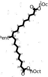 CCCCCCCCOC(=O)CCCCCCCCC(CCCCCCCCC(=O)OCCCCCCCC)C(C)CCC